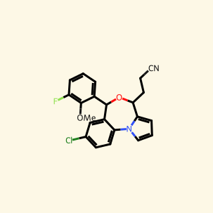 COc1c(F)cccc1C1OC(CCC#N)c2cccn2-c2ccc(Cl)cc21